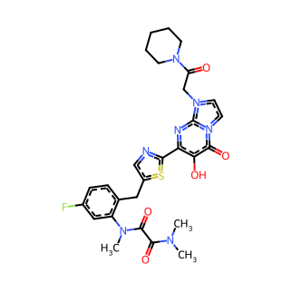 CN(C)C(=O)C(=O)N(C)c1cc(F)ccc1Cc1cnc(-c2nc3n(CC(=O)N4CCCCC4)ccn3c(=O)c2O)s1